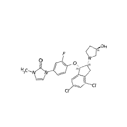 Cn1ccn(-c2ccc(O[C@H]3c4cc(Cl)cc(Cl)c4C[C@H]3N3CC[C@@H](O)C3)c(F)c2)c1=O